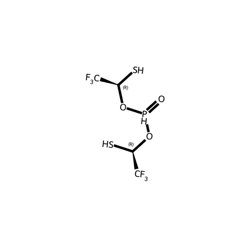 O=[PH](O[C@H](S)C(F)(F)F)O[C@H](S)C(F)(F)F